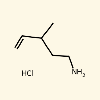 C=CC(C)CCN.Cl